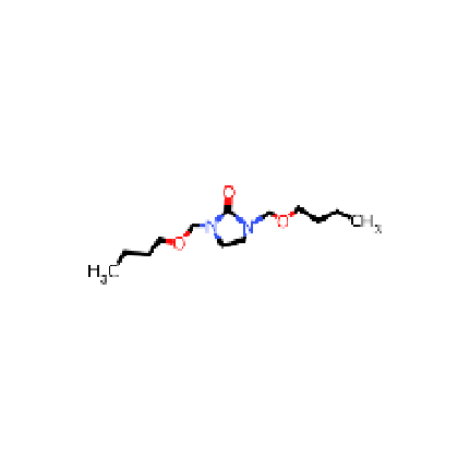 CCCCOCN1CCN(COCCCC)C1=O